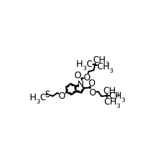 CSCCOc1ccc2c(c1)cc(C(=O)OCCC(C)(C)C)n2C(=O)OCCC(C)(C)C